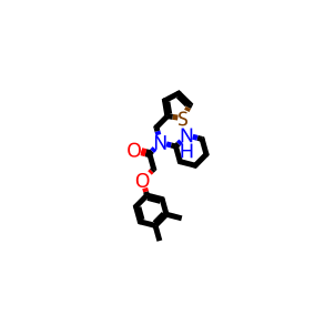 Cc1ccc(OCC(=O)N(Cc2cccs2)C2CCCCN2)cc1C